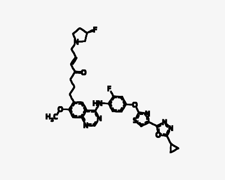 COc1cc2ncnc(Nc3ccc(Oc4nc(-c5nnc(C6CC6)o5)cs4)cc3F)c2cc1CCCC(=O)/C=C/CN1CC[C@@H](F)C1